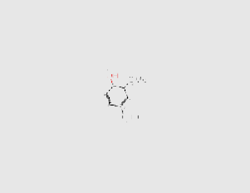 COC1C=C(C=O)C=CC1O